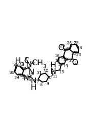 CN(C)c1nc(N[C@H]2CC[C@@H](CNCc3ccc4c(c3)C(=O)c3ccccc3C4=O)CC2)nc2ccccc12